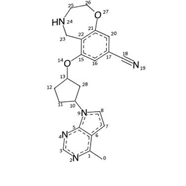 Cc1ncnc2c1ccn2C1CCC(Oc2cc(C#N)cc3c2CNCCO3)C1